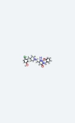 COc1ccc(Br)c(CC2CCN(CCC3CC(=O)N(Cc4ccccc4)C(=O)N3)CC2)c1